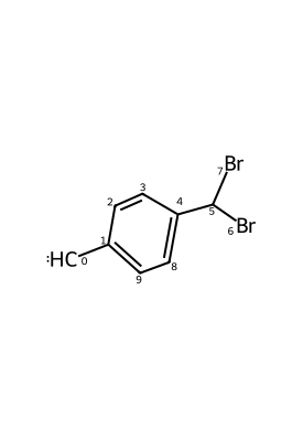 [CH]c1ccc(C(Br)Br)cc1